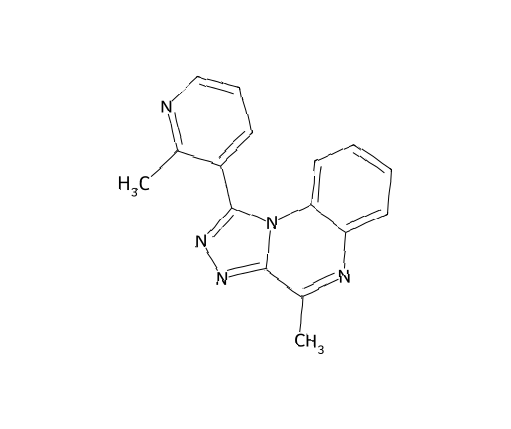 Cc1ncccc1-c1nnc2c(C)nc3ccccc3n12